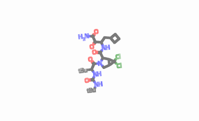 CC(C)(C)NC(=O)NC(C(=O)N1CC2C(C1C(=O)NC(CC1CCC1)C(=O)C(N)=O)C2(Cl)Cl)C(C)(C)C